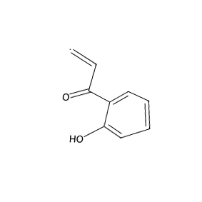 [CH]=CC(=O)c1ccccc1O